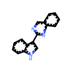 c1ccc2nc(-c3c[nH]c4ccccc34)ncc2c1